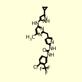 Cc1cc(Nc2cc(C3CC3)n[nH]2)nc(Cc2ccc(NC(=O)Nc3ccc(Cl)c(C(F)(F)F)c3)nc2)n1